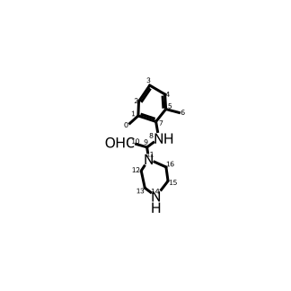 Cc1cccc(C)c1NC(C=O)N1CCNCC1